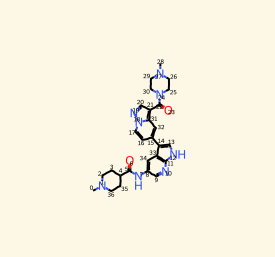 CN1CCC(C(=O)Nc2cnc3[nH]cc(-c4ccn5ncc(C(=O)N6CCN(C)CC6)c5c4)c3c2)CC1